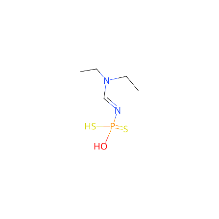 CCN(C=NP(O)(=S)S)CC